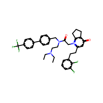 CCN(CC)CCN(Cc1ccc(-c2ccc(C(F)(F)F)cc2)cc1)C(=O)Cn1c(CCc2cccc(F)c2F)cc(=O)c2c1CCC2